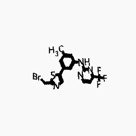 Cc1cc(Nc2nccc(C(F)(F)F)n2)cc(-c2cnc(CBr)s2)c1